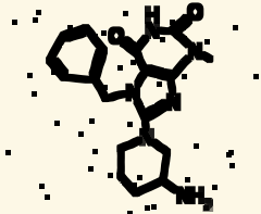 Cn1c(=O)[nH]c(=O)c2c1nc(N1CCCC(N)C1)n2Cc1ccccc1